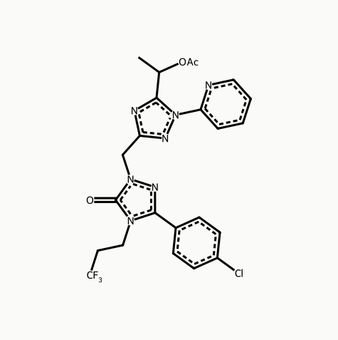 CC(=O)OC(C)c1nc(Cn2nc(-c3ccc(Cl)cc3)n(CCC(F)(F)F)c2=O)nn1-c1ccccn1